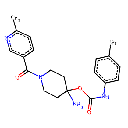 CC(C)c1ccc(NC(=O)OC2(N)CCN(C(=O)c3ccc(C(F)(F)F)nc3)CC2)cc1